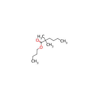 CCCCOC(=O)C(C)(C)CCCC